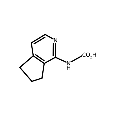 O=C(O)Nc1nccc2c1CCC2